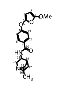 COc1ccc(Oc2ccc(C(=O)NC3CN4CCC3CC4C)cc2)o1